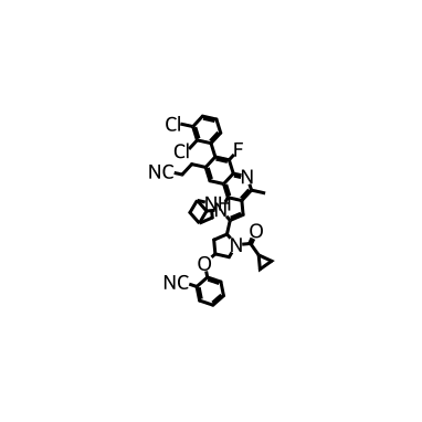 Cc1nc2c(F)c(-c3cccc(Cl)c3Cl)c(CCC#N)cc2c2c1cc(C1CC(Oc3ccccc3C#N)CN1C(=O)C1CC1)n2C1C2CNC1C2